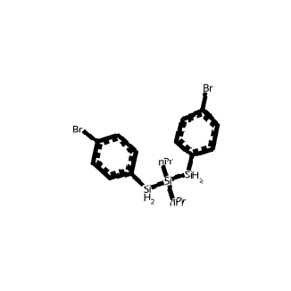 CCC[Si](CCC)([SiH2]c1ccc(Br)cc1)[SiH2]c1ccc(Br)cc1